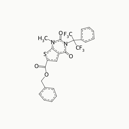 Cn1c(=O)n(C(c2ccccc2)(C(F)(F)F)C(F)(F)F)c(=O)c2cc(C(=O)OCc3ccccc3)sc21